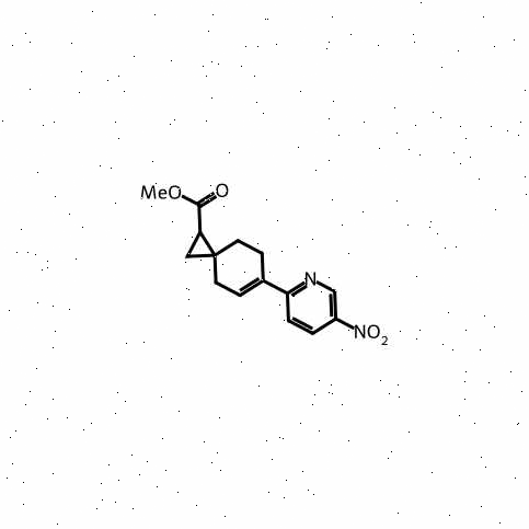 COC(=O)C1CC12CC=C(c1ccc([N+](=O)[O-])cn1)CC2